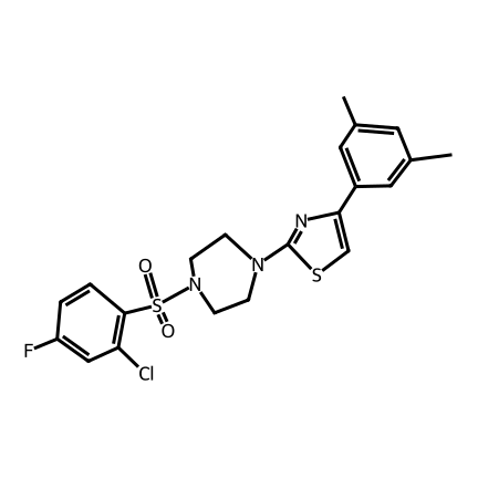 Cc1cc(C)cc(-c2csc(N3CCN(S(=O)(=O)c4ccc(F)cc4Cl)CC3)n2)c1